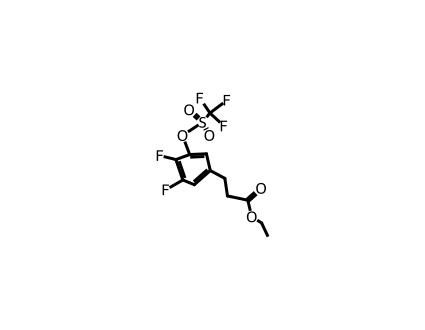 CCOC(=O)CCc1cc(F)c(F)c(OS(=O)(=O)C(F)(F)F)c1